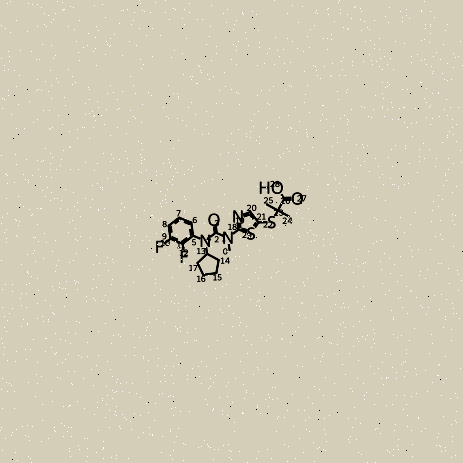 CN(C(=O)N(c1cccc(F)c1F)C1CCCC1)c1ncc(SC(C)(C)C(=O)O)s1